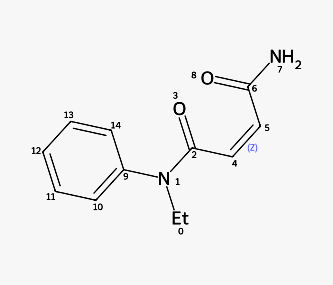 CCN(C(=O)/C=C\C(N)=O)c1ccccc1